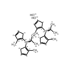 CC1=[C]([Hf]([C]2=C(C)C=CC2)=[C](C)C)CC=C1.CC1=[C]([Hf]([C]2=C(C)C=CC2)=[C](C)C)CC=C1.Cl.Cl